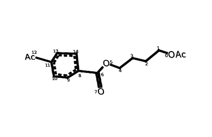 CC(=O)OCCCCOC(=O)c1ccc(C(C)=O)cc1